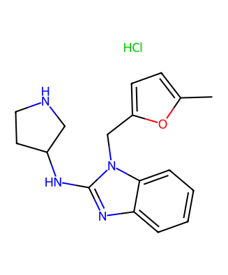 Cc1ccc(Cn2c(NC3CCNC3)nc3ccccc32)o1.Cl